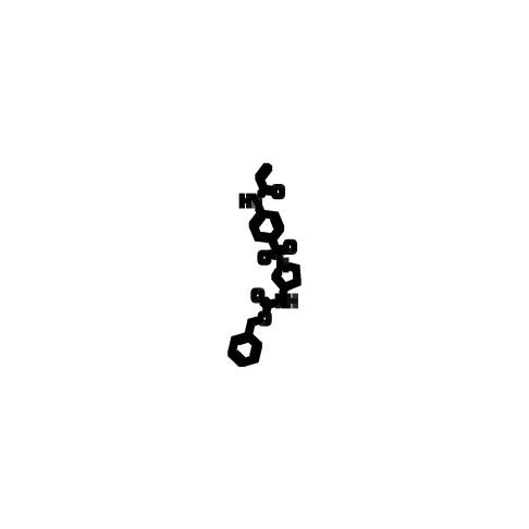 C=CC(=O)Nc1ccc(S(=O)(=O)N2CCC(NC(=O)OCc3ccccc3)C2)cc1